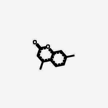 Cc1ccc2c(C)cc(=O)oc2c1